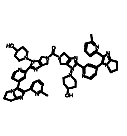 Cc1cccc(-c2nc3n(c2-c2ccnc(-c4nc5c(n4N4CCC(O)CC4)CN(C(=O)N4Cc6nc(-c7cc(-c8c(-c9cccc(C)n9)nc9n8CCC9)ccn7)n(N7CCC(O)CC7)c6C4)C5)c2)CCC3)n1